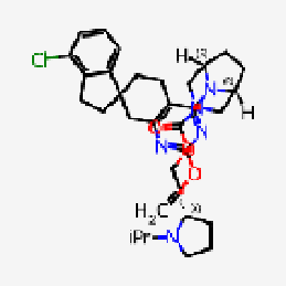 C=CCOC(=O)N1C[C@H]2CC[C@@H](C1)N2c1nc(OC[C@@H]2CCCN2C(C)C)nc2c1CCC1(CCc3c(Cl)cccc31)C2